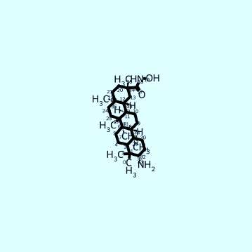 CC1(C)C2CC[C@]3(C)[C@H](CC[C@@H]4[C@H]5C[C@@](C)(C(=O)NO)CC[C@]5(C)CC[C@]43C)[C@@]2(C)CC[C@@H]1N